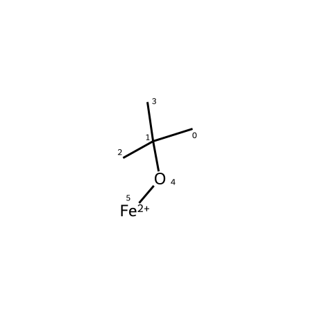 CC(C)(C)[O][Fe+2]